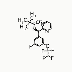 CC(C)(C)[S@@+]([O-])N=C(c1cc(F)cc(OC(F)(F)C(F)F)c1)c1ncccn1